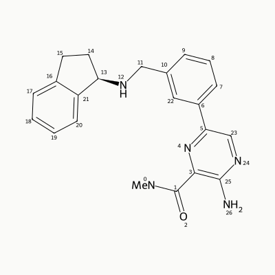 CNC(=O)c1nc(-c2cccc(CN[C@@H]3CCc4ccccc43)c2)cnc1N